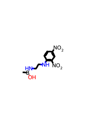 CB(O)NCCNc1ccc([N+](=O)[O-])cc1[N+](=O)[O-]